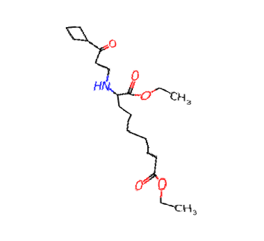 CCOC(=O)CCCCCCC(NCCC(=O)C1CCC1)C(=O)OCC